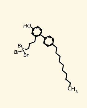 CCCCCCCCCCc1ccc(-c2ccc(O)cc2CCC[Si](Br)(Br)Br)cc1